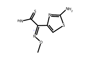 CO/N=C(/C([NH])=S)c1csc(N)n1